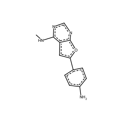 CNc1ncnc2oc(-c3ccc(N)cc3)cc12